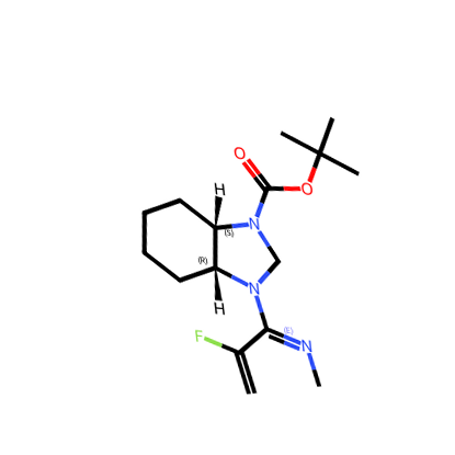 C=C(F)/C(=N\C)N1CN(C(=O)OC(C)(C)C)[C@H]2CCCC[C@H]21